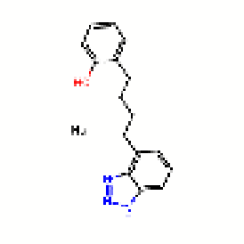 Oc1ccccc1CCCCc1cccc2[nH]nnc12.[Na]